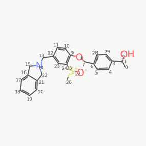 CC(O)c1ccc(COc2ccc(CN3Cc4ccccc4C3)cc2[S+](C)[O-])cc1